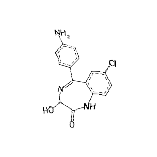 Nc1ccc(C2=NC(O)C(=O)Nc3ccc(Cl)cc32)cc1